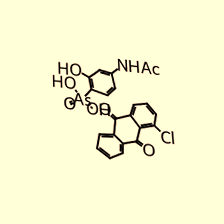 CC(=O)Nc1ccc([As](=O)(O)O)c(O)c1.O=C1c2ccccc2C(=O)c2c(Cl)cccc21